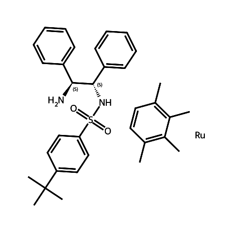 CC(C)(C)c1ccc(S(=O)(=O)N[C@@H](c2ccccc2)[C@@H](N)c2ccccc2)cc1.Cc1ccc(C)c(C)c1C.[Ru]